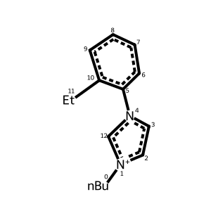 CCCC[n+]1ccn(-c2ccccc2CC)c1